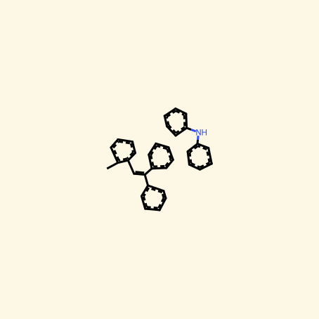 Cc1ccccc1C=C(c1ccccc1)c1ccccc1.c1ccc(Nc2ccccc2)cc1